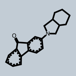 O=C1c2ccccc2-c2ccc(N3CC4CCCCC4C3)cc21